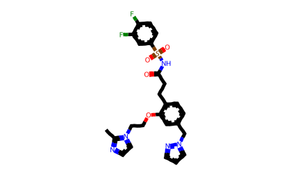 Cc1nccn1CCOc1cc(Cn2cccn2)ccc1CCC(=O)NS(=O)(=O)c1ccc(F)c(F)c1